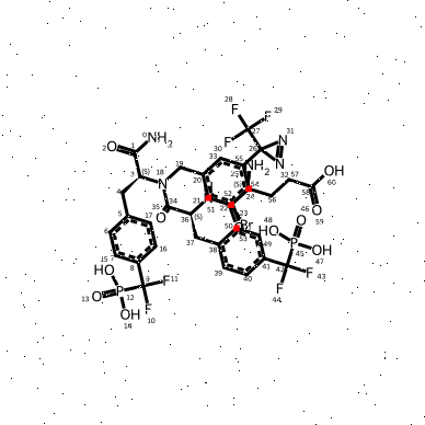 NC(=O)[C@H](Cc1ccc(C(F)(F)P(=O)(O)O)cc1)N(Cc1cc(Br)cc(C2(C(F)(F)F)N=N2)c1)C(=O)[C@H](Cc1ccc(C(F)(F)P(=O)(O)O)cc1)NC(=O)[C@@H](N)CCC(=O)O